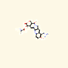 CC[C@@]1(OC(=O)C(N)C(C)C)C(=O)OCc2c1cc1n(c2=O)Cc2cc3c(CN(C)C)c(O)ccc3nc2-1